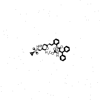 COC(=O)N[C@H](C(=O)Nc1ccccc1CC[C@@H]1CN[C@H](CNS(=O)(=O)C2CC2)CO1)C(c1ccccc1)c1ccccc1